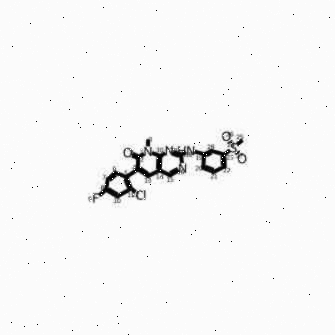 Cn1c(=O)c(-c2ccc(F)cc2Cl)cc2cnc(Nc3cccc(S(C)(=O)=O)c3)nc21